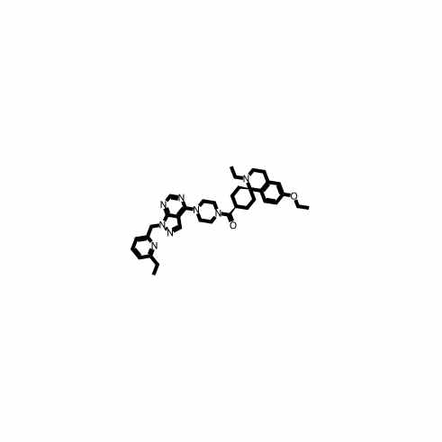 CCOc1ccc2c(c1)CCN(CC)[C@]21CC[C@H](C(=O)N2CCN(c3ncnc4c3cnn4Cc3cccc(CC)n3)CC2)CC1